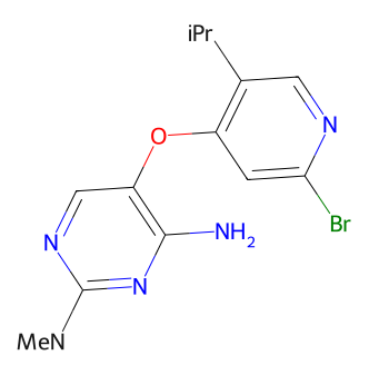 CNc1ncc(Oc2cc(Br)ncc2C(C)C)c(N)n1